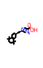 CC1(C)CCC(C)(C)c2cc(C#Cc3cnc(C(=O)O)cn3)ccc21